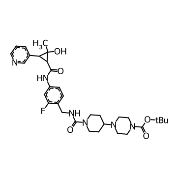 CC(C)(C)OC(=O)N1CCN(C2CCN(C(=O)NCc3ccc(NC(=O)C4C(c5cccnc5)C4(C)O)cc3F)CC2)CC1